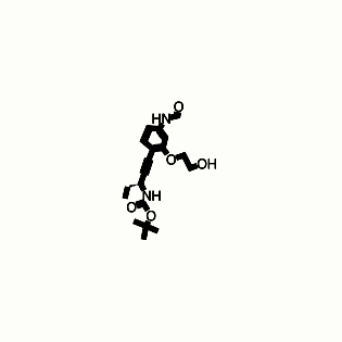 CC[C@H](C#Cc1ccc(NC=O)cc1OCCO)NC(=O)OC(C)(C)C